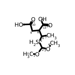 COC(OC)[SiH2]C(C)C(CC(=O)O)C(=O)O